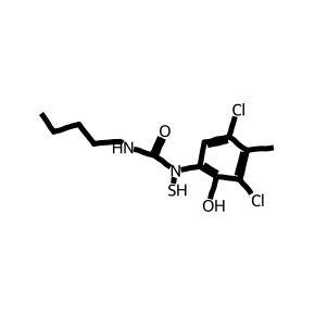 CCCCCNC(=O)N(S)c1cc(Cl)c(C)c(Cl)c1O